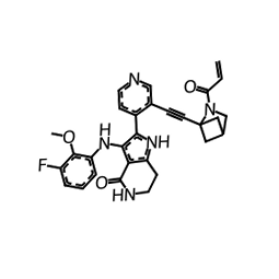 C=CC(=O)N1CC2CC1(C#Cc1cnccc1-c1[nH]c3c(c1Nc1cccc(F)c1OC)C(=O)NCC3)C2